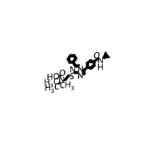 CC(C)(C)N(CCSc1nc(-c2ccccc2)cn2c(-c3ccc(C(=O)NC4CC4)cc3)cnc12)C(=O)O